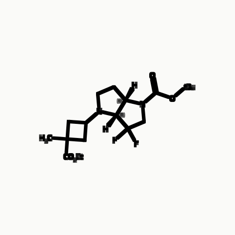 CCOC(=O)C1(C)CC(N2CC[C@H]3[C@@H]2C(F)(F)CN3C(=O)OC(C)(C)C)C1